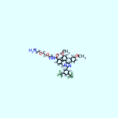 COc1ccc(-c2nc(-c3cc(C(F)(F)F)cc(C(F)(F)F)c3)n(Cc3ccc(C(=O)NCCOCCOCCN)cc3)c2-c2ccc(OC)cc2)cc1